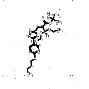 CCCCOc1ccc(-c2noc(CC(C(=O)OC(C)(C)C)P(=O)(OCC)OCC)n2)cn1